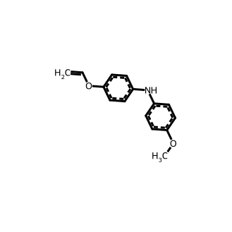 C=COc1ccc(Nc2ccc(OC)cc2)cc1